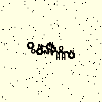 Cc1c(NC(=O)NCc2ccccn2)cn2ncc(C#N)c(Nc3ccc(OC4=CCCC=C4)cc3)c12